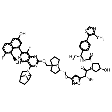 C#Cc1c(F)ccc2cc(O)cc(-c3ncc4c(N5CC6CCC(C5)N6)nc(OC[C@@]56CCCN5[C@H](COc5cc([C@H](C(=O)N7C[C@H](O)C[C@H]7C(=O)N[C@@H](C)c7ccc(-c8scnc8C)cc7)C(C)C)on5)CC6)nc4c3F)c12